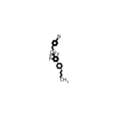 CCCCC[C@H]1CC[C@H](c2cc(F)c(C(F)(F)OCCc3ccc(C#N)cc3)c(F)c2)CC1